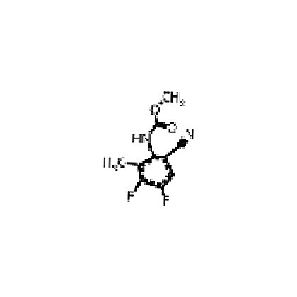 COC(=O)Nc1c(C#N)cc(F)c(F)c1C